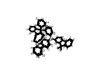 CC1(C)c2ccccc2-c2ccc(N(c3cccc(C4(c5ccccc5Br)c5ccccc5-c5ccccc54)c3)c3ccc4c(c3)oc3ccccc34)cc21